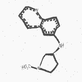 O=C(O)N1CC[C@H](Nc2ccc3ncccc3c2)C1